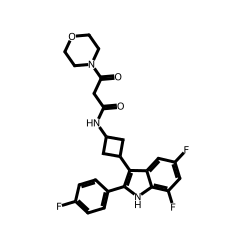 O=C(CC(=O)N1CCOCC1)NC1CC(c2c(-c3ccc(F)cc3)[nH]c3c(F)cc(F)cc23)C1